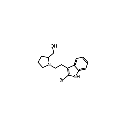 OCC1CCCN1CCc1c(Br)[nH]c2ccccc12